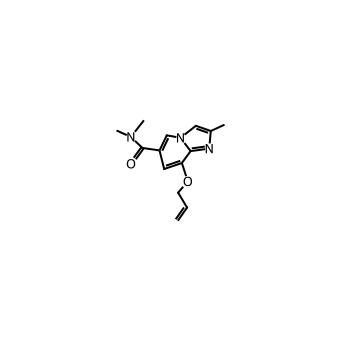 C=CCOc1cc(C(=O)N(C)C)cn2cc(C)nc12